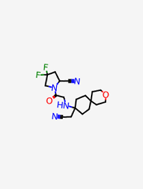 N#CCC1(NCC(=O)N2CC(F)(F)CC2C#N)CCC2(CCOCC2)CC1